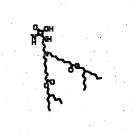 CCCCCC(CCCCC)CCOC(=O)CCCCCCCN(CCCCCCCC(=O)OCCC(CCCC)CCCC)CCCNC1=C(NC)C(=O)C1O